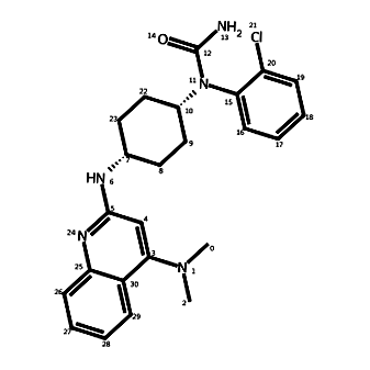 CN(C)c1cc(N[C@H]2CC[C@@H](N(C(N)=O)c3ccccc3Cl)CC2)nc2ccccc12